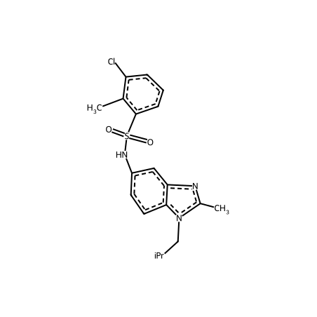 Cc1c(Cl)cccc1S(=O)(=O)Nc1ccc2c(c1)nc(C)n2CC(C)C